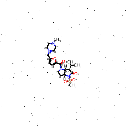 CC(C)[C@H]1C(=O)N(S(C)(=O)=O)[C@H]2CCN(C(=O)c3ccc(CN4CCN(C)CC4)o3)[C@H]12